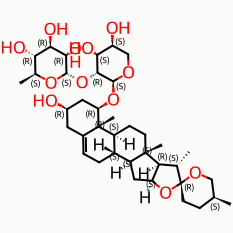 C[C@H]1CC[C@@]2(OC1)O[C@H]1C[C@H]3[C@@H]4CC=C5C[C@@H](O)C[C@@H](O[C@@H]6OC[C@H](O)[C@H](O)[C@H]6O[C@@H]6O[C@@H](C)[C@H](O)[C@@H](O)[C@H]6O)[C@]5(C)[C@H]4CC[C@]3(C)[C@H]1[C@@H]2C